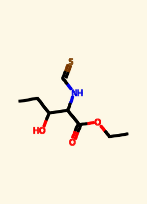 CCOC(=O)C(NC=S)C(O)CC